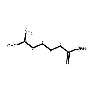 COC(=O)CCCCC(N)C=O